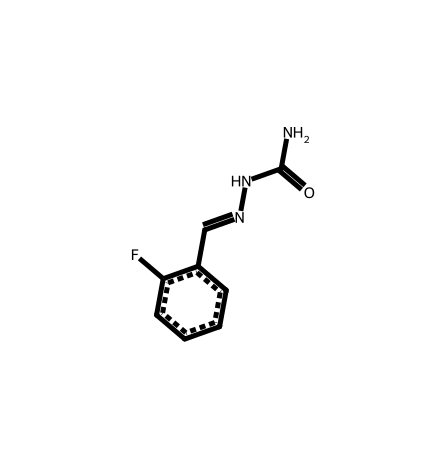 NC(=O)N/N=C/c1ccccc1F